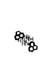 Br.N=C(Nc1ccc2c3c(cccc13)CC2)Nc1ccc2c3c(cccc13)CC2